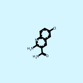 NC(=O)c1cc2cc(Cl)ccc2nc1N